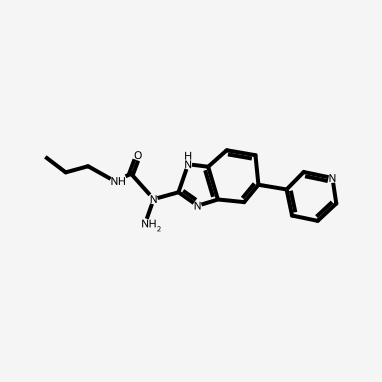 CCCNC(=O)N(N)c1nc2cc(-c3cccnc3)ccc2[nH]1